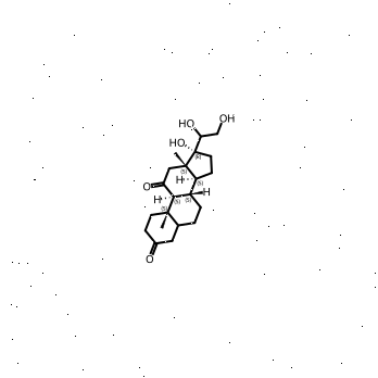 C[C@]12CCC(=O)CC1CC[C@@H]1[C@@H]2C(=O)C[C@@]2(C)[C@H]1CC[C@]2(O)C(O)CO